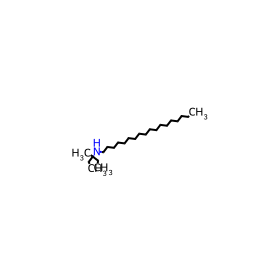 CCCCCCCCCCCCCCCCCCNC(C)(CC)CC